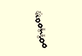 COC(=O)C[C@H]1CC[C@H](c2ccc(NC(=O)CCNC(=O)c3ccc(-c4ccccc4)cc3)cc2)CC1